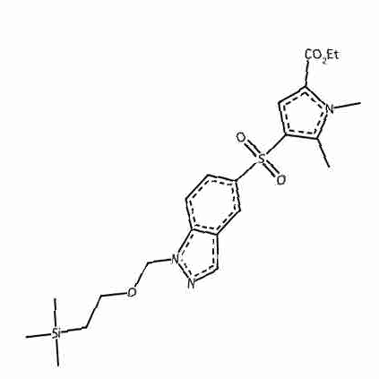 CCOC(=O)c1cc(S(=O)(=O)c2ccc3c(cnn3COCC[Si](C)(C)C)c2)c(C)n1C